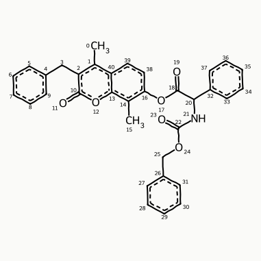 Cc1c(Cc2ccccc2)c(=O)oc2c(C)c(OC(=O)C(NC(=O)OCc3ccccc3)c3ccccc3)ccc12